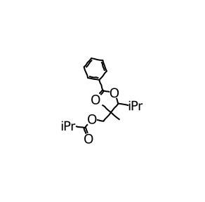 CC(C)C(=O)OCC(C)(C)C(OC(=O)c1ccccc1)C(C)C